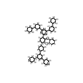 C1=CC2Oc3c(-c4ccc(-c5cc(-c6ccncc6)cc(-c6ccncc6)c5)cc4)ccc(-c4nc(-c5cccc(-c6ccccc6)c5)nc(-c5cccc(-c6ccccc6)c5)n4)c3OC2C=C1